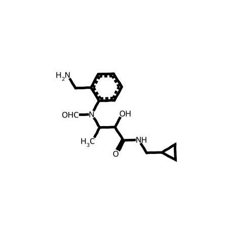 CC(C(O)C(=O)NCC1CC1)N(C=O)c1ccccc1CN